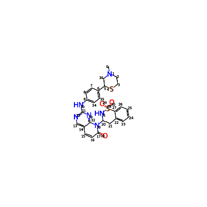 CN1CCSC(c2ccc(Nc3ncc4ccc(=O)n(C5Cc6ccccc6S(=O)(=O)N5)c4n3)cc2)C1